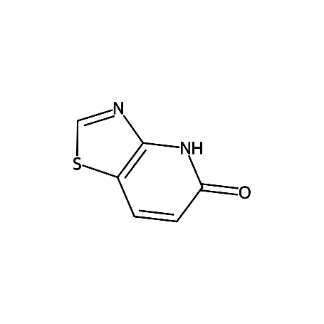 O=c1ccc2scnc2[nH]1